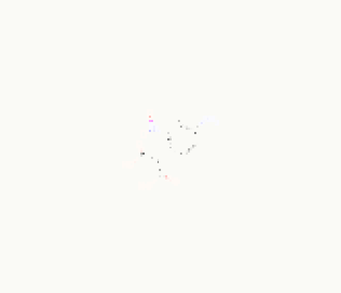 Nc1ccc(C(C(=O)O)C(=O)O)c([N+](=O)[O-])c1